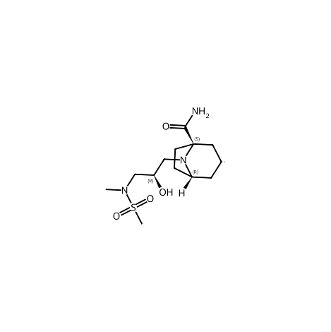 CN(C[C@H](O)CN1[C@@H]2C[CH]C[C@@]1(C(N)=O)CC2)S(C)(=O)=O